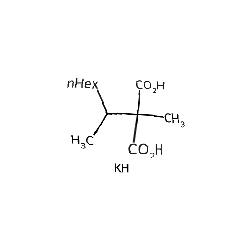 CCCCCCC(C)C(C)(C(=O)O)C(=O)O.[KH]